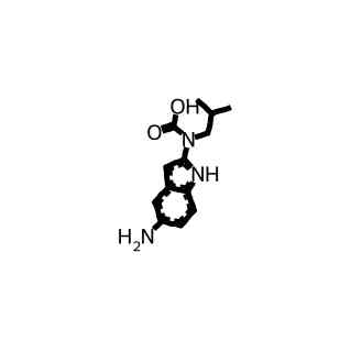 CC(C)CN(C(=O)O)c1cc2cc(N)ccc2[nH]1